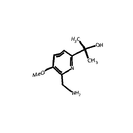 COc1ccc(C(C)(C)O)nc1CN